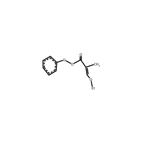 CCOC=C(C)C(=O)OOc1ccccc1